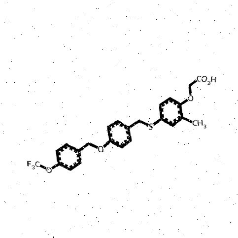 Cc1cc(SCc2ccc(OCc3ccc(OC(F)(F)F)cc3)cc2)ccc1OCC(=O)O